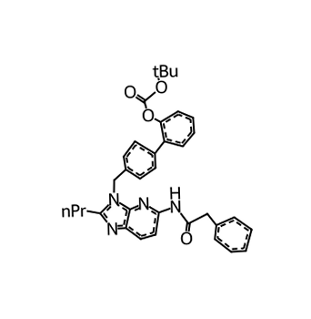 CCCc1nc2ccc(NC(=O)Cc3ccccc3)nc2n1Cc1ccc(-c2ccccc2OC(=O)OC(C)(C)C)cc1